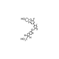 Cc1cc(F)c(COc2cc3c(cn2)[C@H]2[C@@H](C3)[C@@H]2C(=O)O)cc1-c1cc(F)c(O[C@H]2CC[C@](C)(O)CC2)c(F)c1